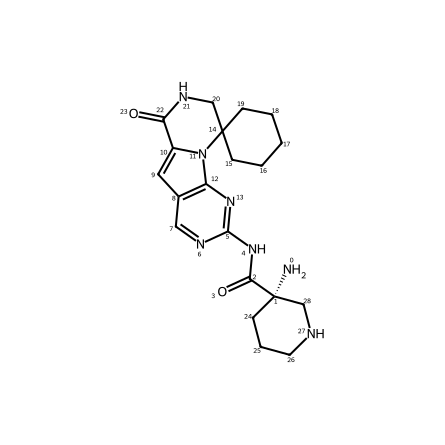 N[C@@]1(C(=O)Nc2ncc3cc4n(c3n2)C2(CCCCC2)CNC4=O)CCCNC1